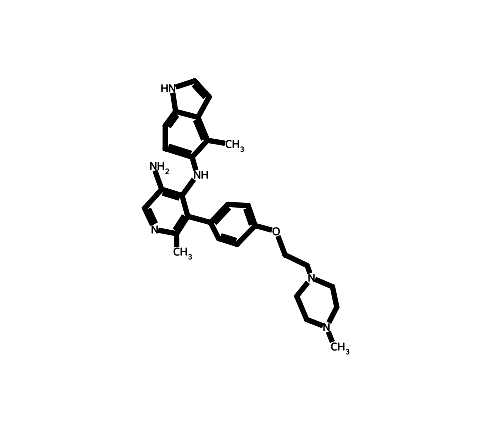 Cc1ncc(N)c(Nc2ccc3[nH]ccc3c2C)c1-c1ccc(OCCN2CCN(C)CC2)cc1